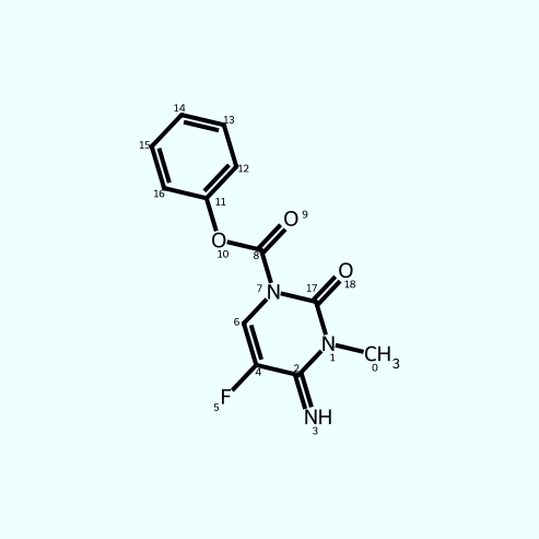 Cn1c(=N)c(F)cn(C(=O)Oc2ccccc2)c1=O